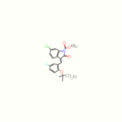 CCOC(=O)C(C)(C)Oc1ccc(F)cc1/C=C1/C(=O)N(C(=O)OC(C)(C)C)c2cc(Cl)ccc21